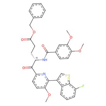 COc1ccc(C(=O)N[C@@H](CCC(=O)OCc2ccccc2)C(=O)c2ccc(OC)c(-c3csc4c(F)cccc34)n2)cc1OC